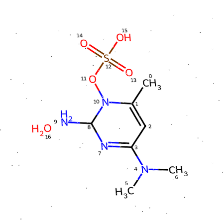 CC1=CC(N(C)C)=NC(N)N1OS(=O)(=O)O.O